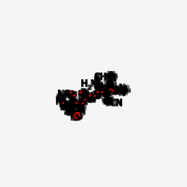 C=C/N=C(\N)c1ccc2c(c1)c1cc(-c3ncc(-c4cc5c6ccc(-c7ncccn7)cc6n(-c6cc(-c7cccc(C#N)c7)cc(-n7c8cc(-c9ncccn9)ccc8c8ccc(-c9ncccn9)cc87)c6C(F)(F)F)c5cc4-c4ncccn4)cn3)ccc1n2-c1cc(-c2cccc(C#N)c2)cc(-n2c3ccc(-c4ncccn4)cc3c3cc(-c4ncccn4)ccc32)c1C(F)(F)F